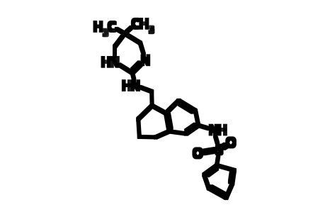 CC1(C)CN=C(NCC2CCCc3cc(NS(=O)(=O)c4ccccc4)ccc32)NC1